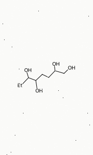 CCC(O)C(O)CCC(O)CO